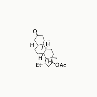 CC[C@H]1C[C@H](OC(C)=O)[C@@]2(C)CC[C@H]3[C@@H](CC[C@H]4CC(=O)C[C@H](C)[C@@]43C)[C@H]12